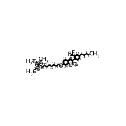 CCCCCc1ccc(-c2cc3ccc(OCCCCCCCC[Si](OCC)(OCC)OCC)cc3oc2=O)c(C(F)(F)F)c1